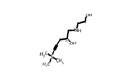 C[Si](C)(C)C#CC[C@H](O)CNCCO